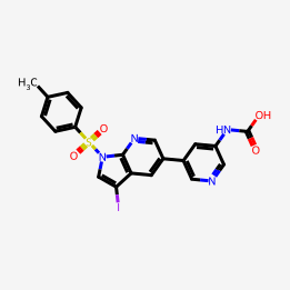 Cc1ccc(S(=O)(=O)n2cc(I)c3cc(-c4cncc(NC(=O)O)c4)cnc32)cc1